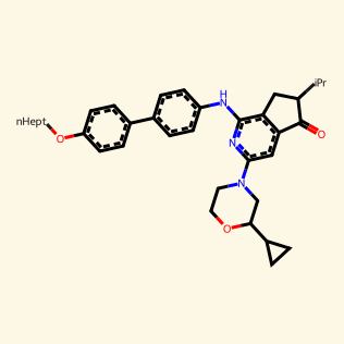 CCCCCCCOc1ccc(-c2ccc(Nc3nc(N4CCOC(C5CC5)C4)cc4c3CC(C(C)C)C4=O)cc2)cc1